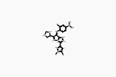 CCN(CC)c1ccc(/N=C2/C(C3COCO3)=Nn3c2nnc3-c2cc(C)n(C)n2)c(C)c1